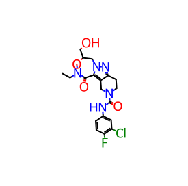 CCN1OC(CO)Cn2nc3c(c2C1=O)CN(C(=O)Nc1ccc(F)c(Cl)c1)CC3